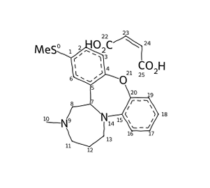 CSc1ccc2c(c1)C1CN(C)CCCN1c1ccccc1O2.O=C(O)/C=C\C(=O)O